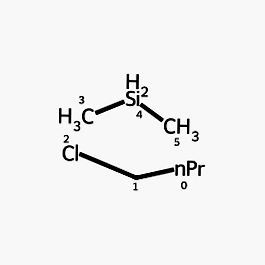 CCCCCl.C[SiH2]C